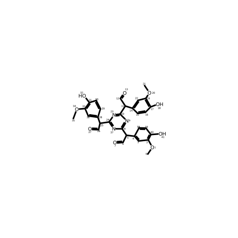 COc1cc(C(C=O)c2nc(C(C=O)c3ccc(O)c(OC)c3)nc(C(C=O)c3ccc(O)c(OC)c3)n2)ccc1O